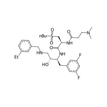 CCCCS(=O)(=O)C[C@@H](NC(=O)CCN(C)C)C(=O)N[C@@H](Cc1cc(F)cc(F)c1)[C@H](O)CNCc1cccc(CC)c1